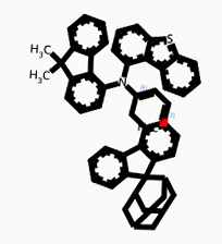 C/C=C\C=C(/Cc1cccc2c1-c1ccccc1C21C2CC3CC(C2)CC1C3)N(c1cccc2c1-c1ccccc1C2(C)C)c1cccc2sc3ccccc3c12